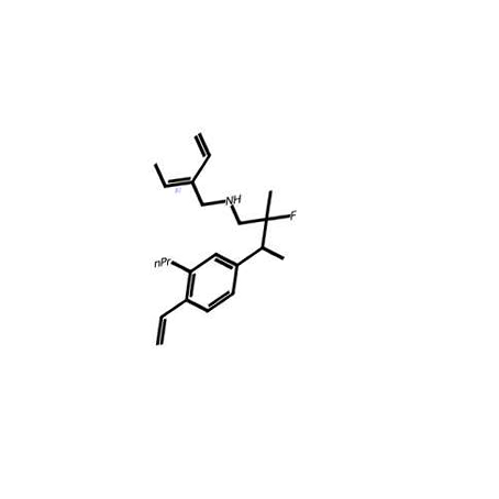 C=C/C(=C\C)CNCC(C)(F)C(C)c1ccc(C=C)c(CCC)c1